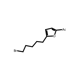 CC(=O)c1ccc(CCCCCBr)o1